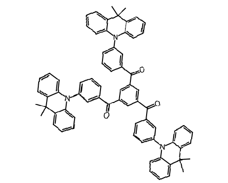 CC1(C)c2ccccc2N(c2cccc(C(=O)c3cc(C(=O)c4cccc(N5c6ccccc6C(C)(C)c6ccccc65)c4)cc(C(=O)c4cccc(N5c6ccccc6C(C)(C)c6ccccc65)c4)c3)c2)c2ccccc21